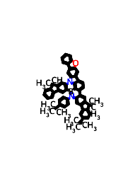 CC(C)(C)c1ccc(N2B3c4cc5c(cc4-n4c6cc7c(cc6c6ccc(c3c64)-c3cc4c(cc32)-c2cc(C(C)(C)C)ccc2C4(C)C)oc2ccccc27)C(C)(C)c2ccccc2-5)cc1